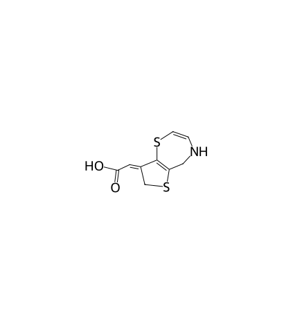 O=C(O)C=C1CSC2=C1SC=CNC2